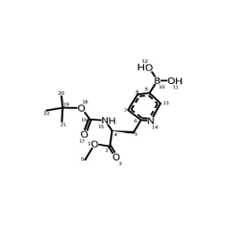 COC(=O)[C@H](Cc1ccc(B(O)O)cn1)NC(=O)OC(C)(C)C